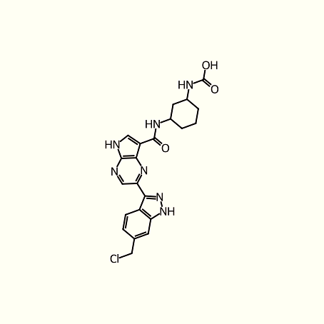 O=C(O)NC1CCCC(NC(=O)c2c[nH]c3ncc(-c4n[nH]c5cc(CCl)ccc45)nc23)C1